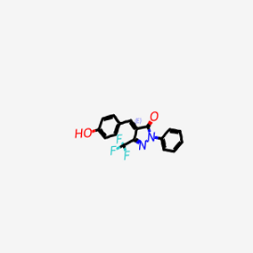 O=C1/C(=C/c2ccc(O)cc2)C(C(F)(F)F)=NN1c1ccccc1